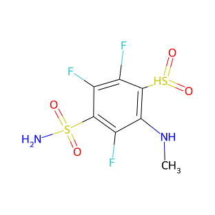 CNc1c(F)c(S(N)(=O)=O)c(F)c(F)c1[SH](=O)=O